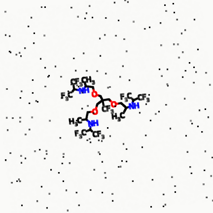 CC(COCC(COCC(C)NC(C(F)(F)F)C(F)(F)F)(COCC(C)NC(C(F)(F)F)C(F)(F)F)C(F)(F)F)NC(C(F)(F)F)C(F)(F)F